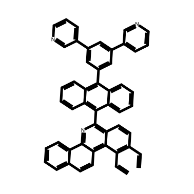 C=Cc1ccc2c(-c3c4ccccc4c(-c4cc(-c5cccnc5)cc(-c5cccnc5)c4)c4ccccc34)nc3c4ccccc4ccc3c2c1C=C